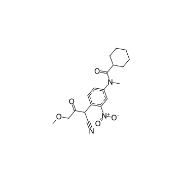 COCC(=O)C(C#N)c1ccc(N(C)C(=O)C2CCCCC2)cc1[N+](=O)[O-]